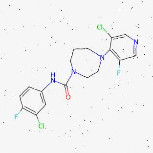 O=C(Nc1ccc(F)c(Cl)c1)N1CCCN(c2c(F)cncc2Cl)CC1